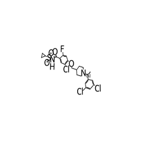 C[C@@H](c1cc(Cl)cc(Cl)c1)N1CCC(COc2cc(F)c(C(=O)NS(=O)(=O)C3CC3)cc2Cl)CC1